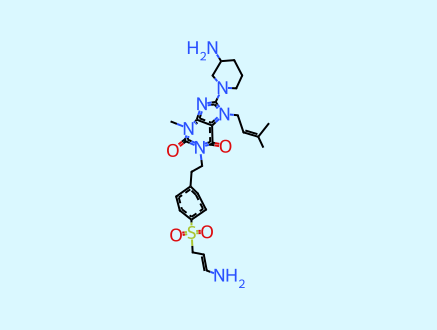 CC(C)=CCn1c(N2CCCC(N)C2)nc2c1c(=O)n(CCc1ccc(S(=O)(=O)CC=CN)cc1)c(=O)n2C